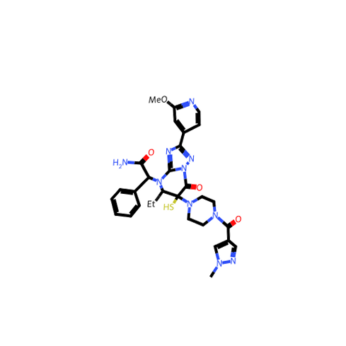 CCC1N(C(C(N)=O)c2ccccc2)c2nc(-c3ccnc(OC)c3)nn2C(=O)C1(S)N1CCN(C(=O)c2cnn(C)c2)CC1